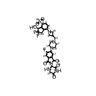 CS(=O)(=O)c1ccc(N2CC(CN3CCN(c4cc5c(cc4F)C(=O)N(C4NCC(=O)NC4=O)C5=O)CC3)C2)c2c1[C@H](O)C(F)(F)C2